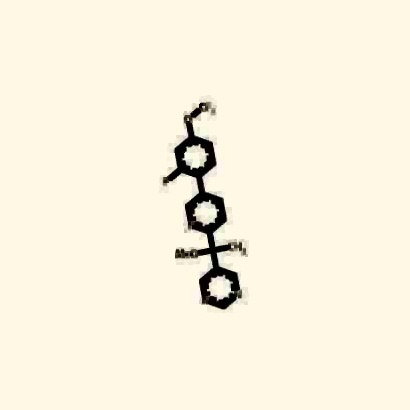 COC(C)(c1cncnc1)c1ccc(-c2ccc(OC(F)(F)F)cc2F)cn1